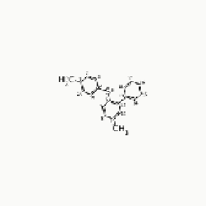 Cc1ccc(Sc2ccc(C)cc2-c2ccccc2)cc1